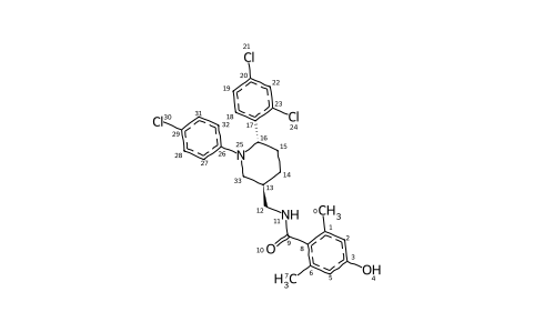 Cc1cc(O)cc(C)c1C(=O)NC[C@@H]1CC[C@@H](c2ccc(Cl)cc2Cl)N(c2ccc(Cl)cc2)C1